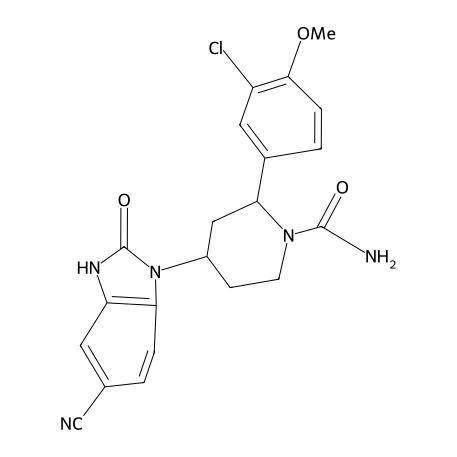 COc1ccc(C2CC(n3c(=O)[nH]c4cc(C#N)ccc43)CCN2C(N)=O)cc1Cl